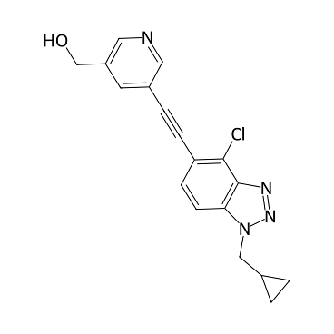 OCc1cncc(C#Cc2ccc3c(nnn3CC3CC3)c2Cl)c1